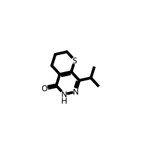 CC(C)c1n[nH]c(=O)c2c1SCCC2